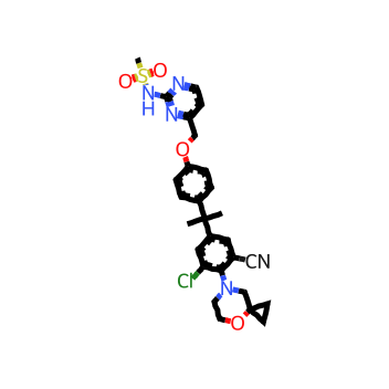 CC(C)(c1ccc(OCc2ccnc(NS(C)(=O)=O)n2)cc1)c1cc(Cl)c(N2CCOC3(CC3)C2)c(C#N)c1